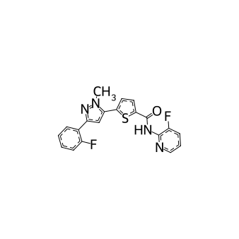 Cn1nc(-c2ccccc2F)cc1-c1ccc(C(=O)Nc2ncccc2F)s1